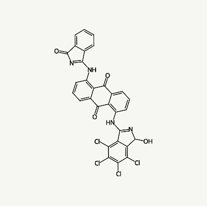 O=C1N=C(Nc2cccc3c2C(=O)c2cccc(NC4=NC(O)c5c(Cl)c(Cl)c(Cl)c(Cl)c54)c2C3=O)c2ccccc21